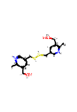 Cc1ncc(CSSCc2cnc(C)c(CO)c2)cc1CO